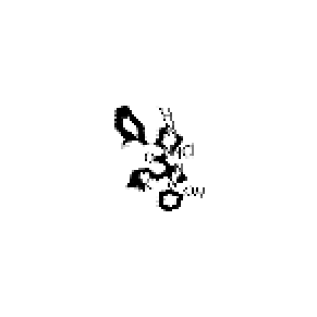 Cl.O=C(c1ncn([C@H]2CCCC[C@H]2O)c1-c1ccccc1)N1CCNC[C@H]1Cc1ccccc1F